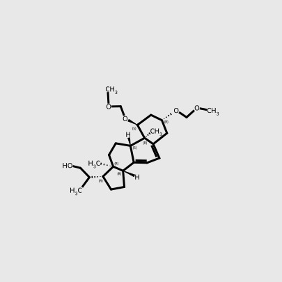 COCO[C@@H]1CC2=CC=C3[C@@H]4CC[C@H](C(C)CO)[C@@]4(C)CC[C@@H]3[C@@]2(C)[C@@H](OCOC)C1